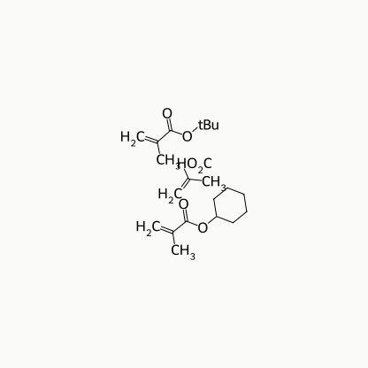 C=C(C)C(=O)O.C=C(C)C(=O)OC(C)(C)C.C=C(C)C(=O)OC1CCCCC1